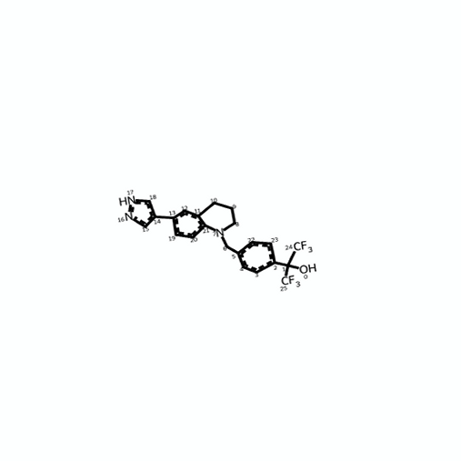 OC(c1ccc(CN2CCCc3cc(-c4cn[nH]c4)ccc32)cc1)(C(F)(F)F)C(F)(F)F